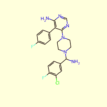 Nc1ncnc(N2CCN(C(N)c3ccc(F)c(Cl)c3)CC2)c1-c1ccc(F)cc1